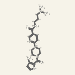 Cc1ccsc1C(=O)N1CCN(c2ccc(C(=O)NCCCN(C)C)cn2)CC1